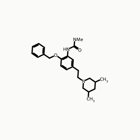 CNC(=O)Nc1cc(CCN2CC(C)CC(C)C2)ccc1OCc1ccccc1